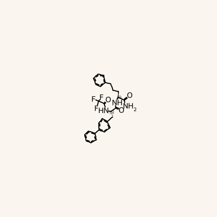 NC(=O)[C@H](CCCc1ccccc1)NC(=O)[C@H](Cc1ccc(-c2ccccc2)cc1)NC(=O)C(F)(F)F